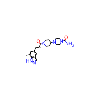 Cc1cc(C[CH]C(=O)N2CCC(N3CCN(C(N)=O)CC3)CC2)cc2cn[nH]c12